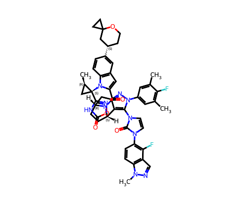 Cc1cc(-n2nc3c(c2-n2ccn(-c4ccc5c(cnn5C)c4F)c2=O)[C@@H]2CC[C@H](C3)N2C(=O)c2cc3cc([C@H]4CCOC5(CC5)C4)ccc3n2[C@@]2(c3noc(=O)[nH]3)C[C@H]2C)cc(C)c1F